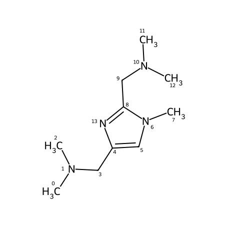 CN(C)Cc1cn(C)c(CN(C)C)n1